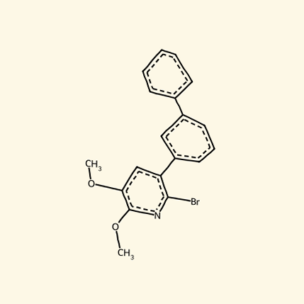 COc1cc(-c2cccc(-c3ccccc3)c2)c(Br)nc1OC